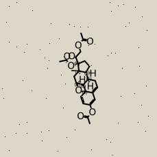 CC(=O)OCC(=O)[C@@]1(OC(C)=O)CC[C@H]2[C@@H]3CC=C4C=C(OC(C)=O)C=C[C@]4(C)[C@@]34O[C@H]4C[C@@]21C